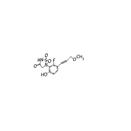 COCC#Cc1ccc(O)c(N2CC(=O)NS2(=O)=O)c1F